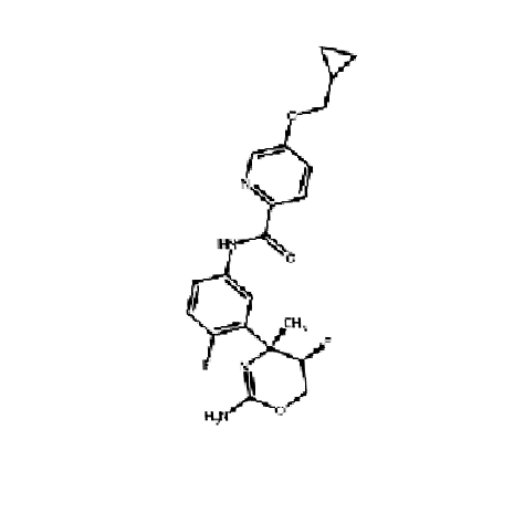 C[C@]1(c2cc(NC(=O)c3ccc(OCC4CC4)cn3)ccc2F)N=C(N)OC[C@@H]1F